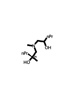 CCCC(O)CN(C)C[C@](C)(O)CCC